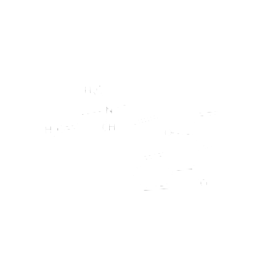 C=CC[N+](C)(C)CC=COc1ccccc1C(=O)c1ccccc1